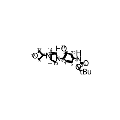 CC(C)(C)OC(=O)Nc1ccc(N2CC3CC2CN3C2COC2)c(O)c1